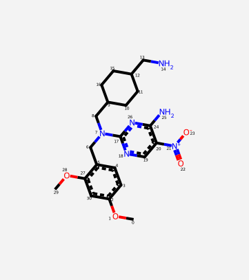 COc1ccc(CN(CC2CCC(CN)CC2)c2ncc([N+](=O)[O-])c(N)n2)c(OC)c1